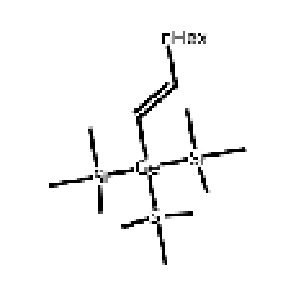 CCCCCCC=[CH][Ge]([Si](C)(C)C)([Si](C)(C)C)[Si](C)(C)C